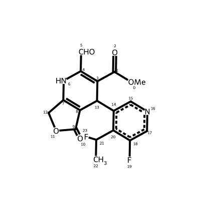 COC(=O)C1=C(C=O)NC2=C(C(=O)OC2)C1c1cncc(F)c1C(C)F